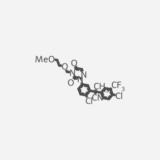 COCCOCn1c(=O)cnn(-c2ccc(Cl)c(C(C)(C#N)c3ccc(Cl)c(C(F)(F)F)c3)c2)c1=O